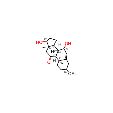 CC(=O)O[C@H]1CC[C@@]2(C)C(=C[C@H](O)[C@H]3[C@@H]4CC[C@H](O)[C@@]4(C)CC(=O)[C@@H]32)C1